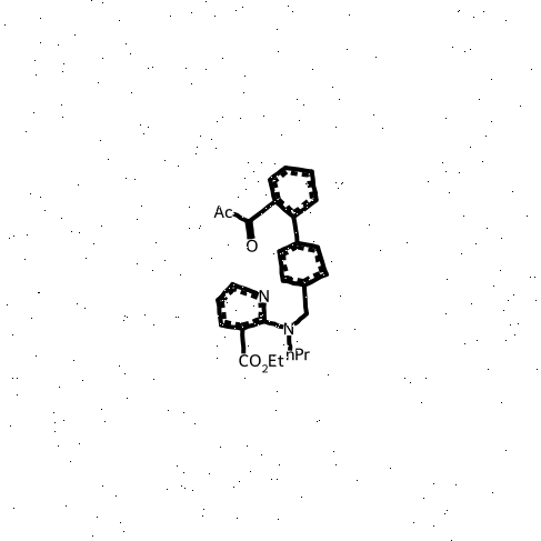 CCCN(Cc1ccc(-c2ccccc2C(=O)C(C)=O)cc1)c1ncccc1C(=O)OCC